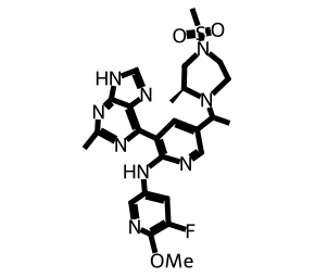 COc1ncc(Nc2ncc(C(C)N3CCN(S(C)(=O)=O)C[C@@H]3C)cc2-c2nc(C)nc3[nH]cnc23)cc1F